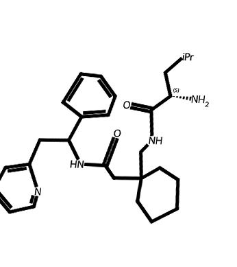 CC(C)C[C@H](N)C(=O)NCC1(CC(=O)NC(Cc2ccccn2)c2ccccc2)CCCCC1